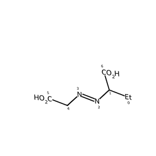 CCC(/N=N/CC(=O)O)C(=O)O